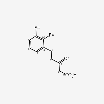 O=C(O)CC(=O)CCc1cccc(F)c1F